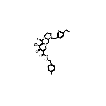 COc1ccc(CN2CCCN3C(=O)c4c(O)c(=O)c(C(=O)ONCc5ccc(F)cc5)cn4CC23)cn1